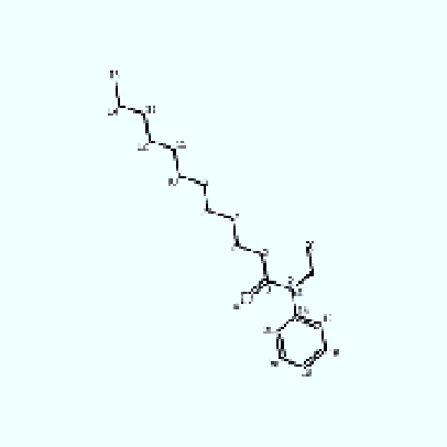 [CH2]C[C@H](C(=O)CCCCCCCCCCC)c1ccccc1